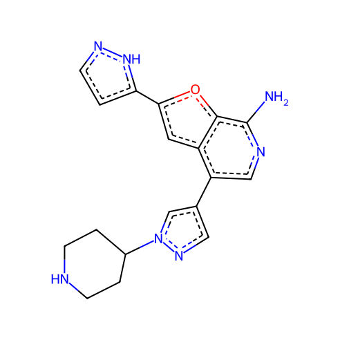 Nc1ncc(-c2cnn(C3CCNCC3)c2)c2cc(-c3ccn[nH]3)oc12